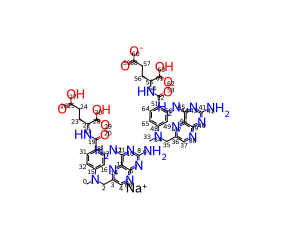 CN(Cc1cnc2nc(N)nc(N)c2n1)c1ccc(C(=O)N[C@@H](CCC(=O)O)C(=O)O)cc1.CN(Cc1cnc2nc(N)nc(N)c2n1)c1ccc(C(=O)N[C@@H](CCC(=O)[O-])C(=O)O)cc1.[Na+]